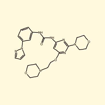 O=C(Nc1cccc(-n2cccn2)c1)Nc1cc(OCCN2CCOCC2)nc(N2CCOCC2)n1